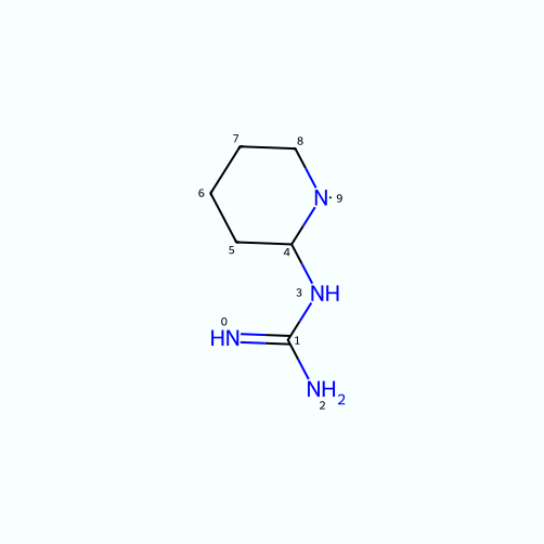 N=C(N)NC1CCCC[N]1